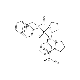 C[C@H](N)C(=O)N1CCC[C@H]1C(=O)N1CCC[C@]1(C(=O)OCc1ccccc1)P(=O)(Cc1ccccc1)Cc1ccccc1